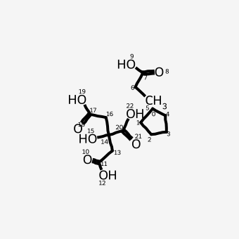 C1CCCC1.CCC(=O)O.O=C(O)CC(O)(CC(=O)O)C(=O)O